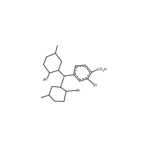 CCc1cc(N(C2CC(C)CCC2C(C)C)C2CC(C)CCC2C(C)C)ccc1C(=O)O